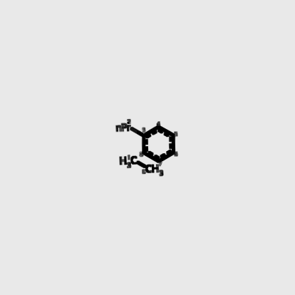 CC.CCCc1ccccc1